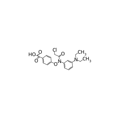 CCN(CC)c1cccc(N(Oc2ccc(S(=O)(=O)O)cc2)C(=O)CCl)c1